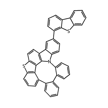 c1ccc2c(c1)sc1c(-c3ccc4c(c3)c3ccc5sc6cccc7c8ccccc8c8ccccc8n4c3c5c67)cccc12